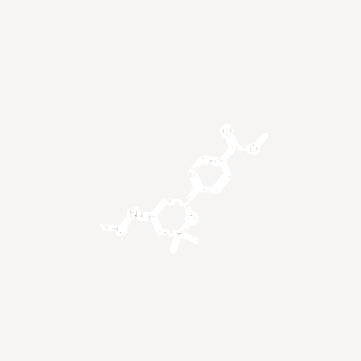 CO/N=C1/CC(c2ccc(C(=O)OC)cc2)OC(C)(C)C1